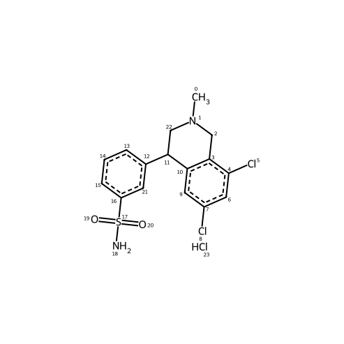 CN1Cc2c(Cl)cc(Cl)cc2C(c2cccc(S(N)(=O)=O)c2)C1.Cl